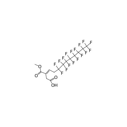 COC(=O)C(=CCC(F)(F)C(F)(F)C(F)(F)C(F)(F)C(F)(F)C(F)(F)C(F)(F)C(F)(F)F)CC(=O)O